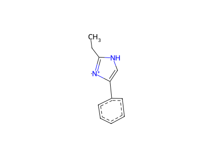 CCC1=[N+]C(c2ccccc2)=CN1